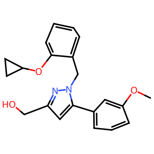 COc1cccc(-c2cc(CO)nn2Cc2ccccc2OC2CC2)c1